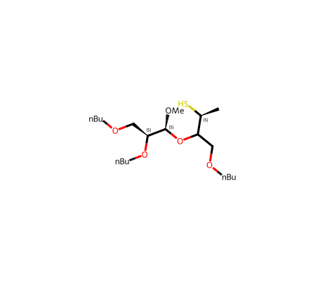 CCCCOCC(O[C@H](OC)[C@H](COCCCC)OCCCC)[C@H](C)S